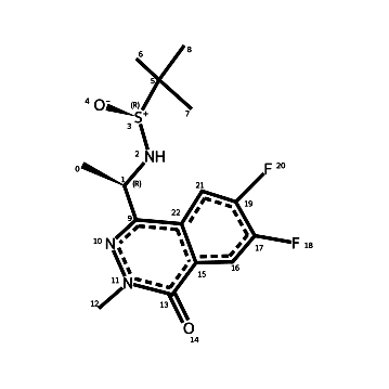 C[C@@H](N[S@@+]([O-])C(C)(C)C)c1nn(C)c(=O)c2cc(F)c(F)cc12